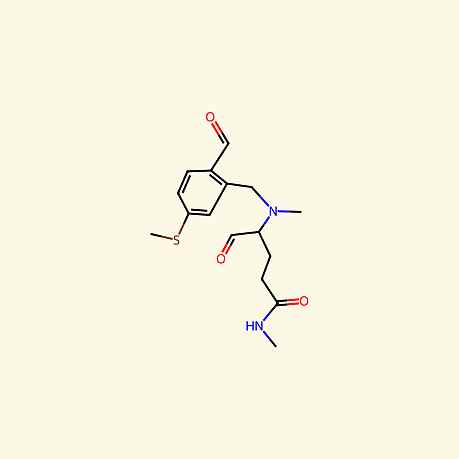 CNC(=O)CCC(C=O)N(C)Cc1cc(SC)ccc1C=O